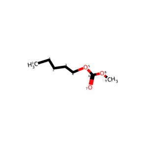 CCCCCOC(=O)OC